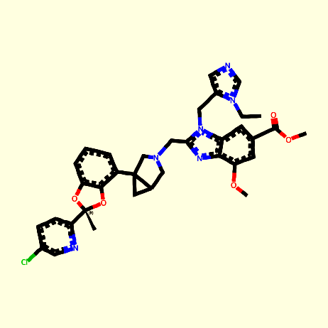 CCn1cncc1Cn1c(CN2CC3CC3(c3cccc4c3O[C@](C)(c3ccc(Cl)cn3)O4)C2)nc2c(OC)cc(C(=O)OC)cc21